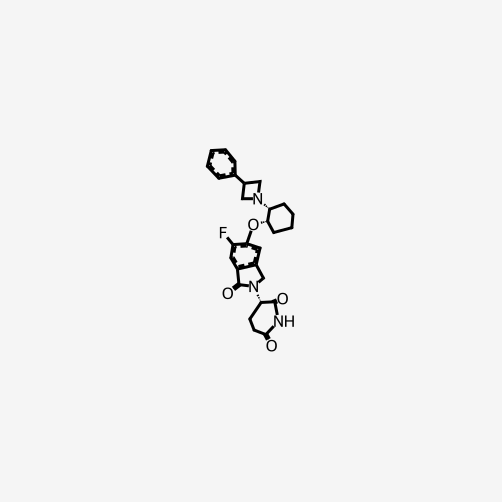 O=C1CC[C@H](N2Cc3cc(O[C@H]4CCCC[C@H]4N4CC(c5ccccc5)C4)c(F)cc3C2=O)C(=O)N1